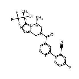 C[C@H]1CN(C(=O)c2ccnc(-c3ccc(F)cc3C#N)c2)Cc2cnc([C@@](C)(O)C(F)(F)F)n21